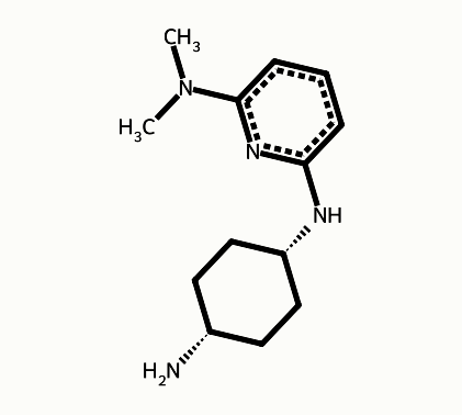 CN(C)c1cccc(N[C@H]2CC[C@@H](N)CC2)n1